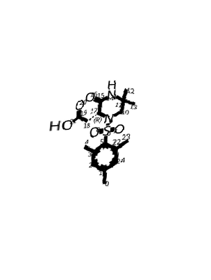 Cc1cc(C)c(S(=O)(=O)N2CC(C)(C)NC(=O)[C@H]2CC(=O)O)c(C)c1